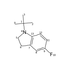 CC(C)(C)N1CCc2cc(F)ccc21